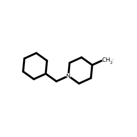 [CH2]C1CCN(CC2CCCCC2)CC1